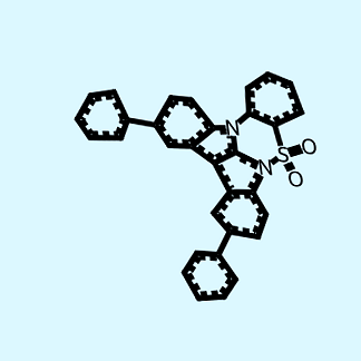 O=S1(=O)c2ccccc2-n2c3ccc(-c4ccccc4)cc3c3c4cc(-c5ccccc5)ccc4n1c32